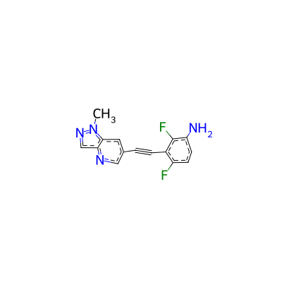 Cn1ncc2ncc(C#Cc3c(F)ccc(N)c3F)cc21